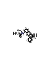 CC/C(=C\c1cccc2c1CC[C@@H](N[C@H](C)c1ccccc1)C2)C(=O)O